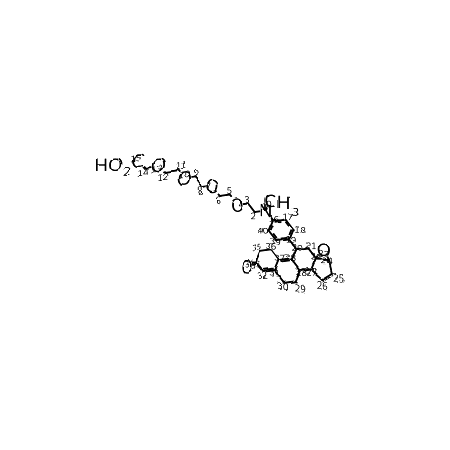 CN(CCOCCOCCOCCOCC(=O)O)c1ccc(C2CC34OC3CCC4C3CCC4=CC(=O)CCC4=C23)cc1